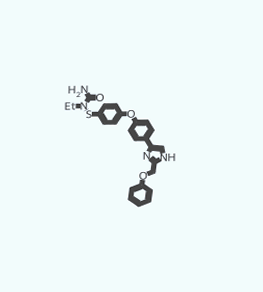 CCN(Sc1ccc(Oc2ccc(-c3c[nH]c(COc4ccccc4)n3)cc2)cc1)C(N)=O